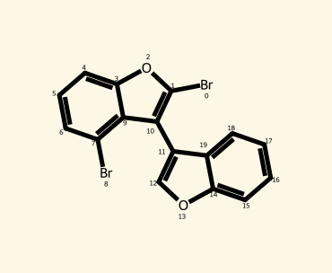 Brc1oc2cccc(Br)c2c1-c1coc2ccccc12